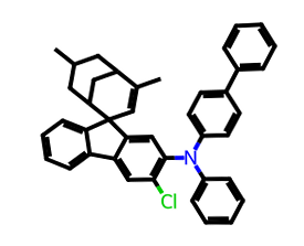 CC1=CC2(c3ccccc3-c3cc(Cl)c(N(c4ccccc4)c4ccc(-c5ccccc5)cc4)cc32)C2CC(C)CC1C2